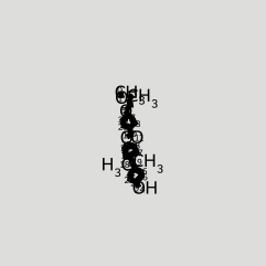 COC(C)COc1ccc(C(=O)Oc2ccc(C(C)(C)c3ccc(O)cc3)cc2)cc1